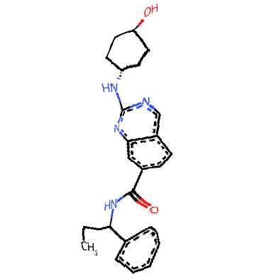 CCC(NC(=O)c1ccc2cnc(N[C@H]3CC[C@H](O)CC3)nc2c1)c1ccccc1